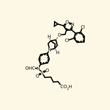 O=CN(c1ccc(N2C[C@@H]3C[C@H]2C[C@H]3OCc2c(-c3c(Cl)cccc3Cl)noc2C2CC2)cc1)S(=O)(=O)CCCCC(=O)O